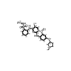 CCOc1cc(O[C@H]2CCN(C)C2)ccc1Nc1ncc(I)c(Nc2ccccc2S(=O)(=O)NC(C)C)n1